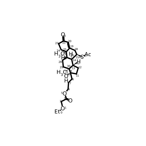 CCOCC(=O)OCCC[C@]1(O)CC[C@H]2[C@@H]3[C@H](SC(C)=O)CC4=CC(=O)CC[C@]4(C)[C@H]3CC[C@@]21C